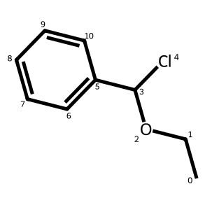 CCOC(Cl)c1ccccc1